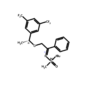 C[C@@H](OC/C(=N/[SH](C)(=O)C(C)(C)C)c1ccccc1)c1cc(C(F)(F)F)cc(C(F)(F)F)c1